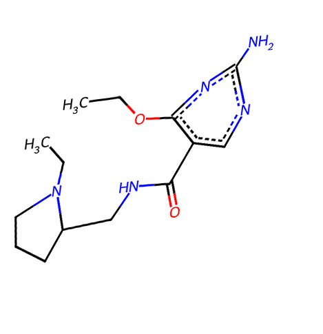 CCOc1nc(N)ncc1C(=O)NCC1CCCN1CC